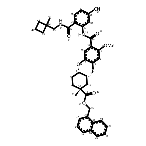 COc1cc(F)c(O[C@H]2CC[C@@](C)(C(=O)OCc3cccc4ccccc34)CC2)cc1C(=O)Nc1cc(C#N)ccc1C(=O)NCC1(C)CCC1